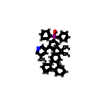 Cc1cncc(-c2cc(P(=O)(c3ccccc3)c3ccccc3)cc3c2-c2cc4c5ccccc5c5ccccc5c4cc2C3(C)C)c1